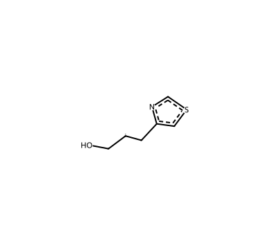 OC[CH]Cc1cscn1